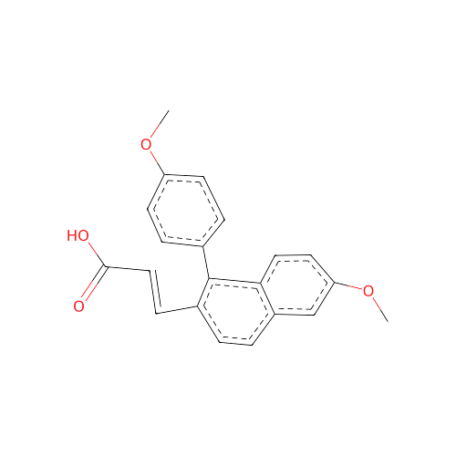 COc1ccc(-c2c(C=CC(=O)O)ccc3cc(OC)ccc23)cc1